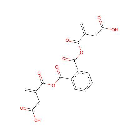 C=C(CC(=O)O)C(=O)OC(=O)c1ccccc1C(=O)OC(=O)C(=C)CC(=O)O